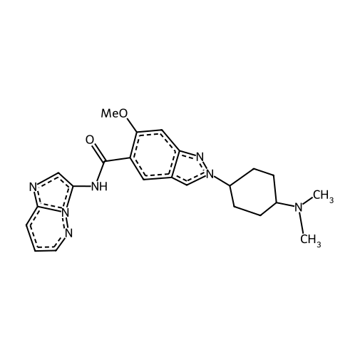 COc1cc2nn(C3CCC(N(C)C)CC3)cc2cc1C(=O)Nc1cnc2cccnn12